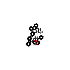 CC1(C)c2ccccc2-c2cccc(-c3ccc4c(c3)c3ccc5c6ccccc6n(-c6ccccc6)c5c3n4-c3nc(-c4ccccc4)c4ccccc4n3)c21